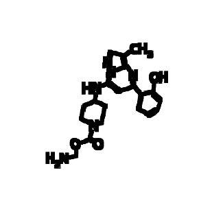 Cc1cnn2c(NC3CCN(C(=O)OCN)CC3)cc(-c3ccccc3O)nc12